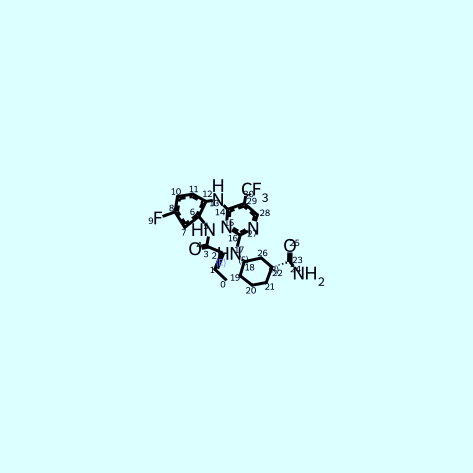 C/C=C/C(=O)Nc1cc(F)ccc1Nc1nc(N[C@H]2CCC[C@@H](C(N)=O)C2)ncc1C(F)(F)F